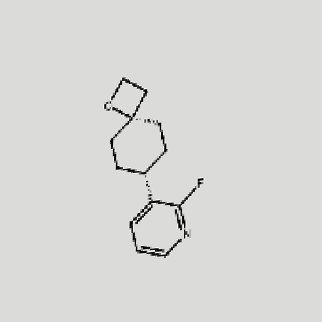 Fc1ncccc1[C@H]1CC[C@]2(CCO2)CC1